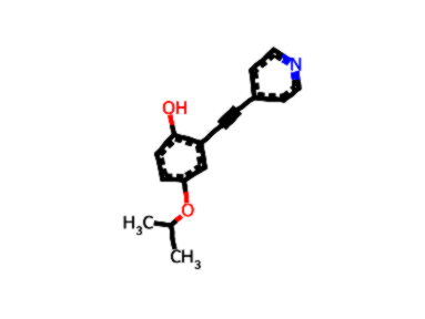 CC(C)Oc1ccc(O)c(C#Cc2ccncc2)c1